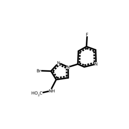 O=C(O)Nc1cn(-c2cncc(F)c2)nc1Br